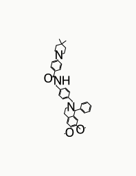 COc1cc2c(cc1OC)C(c1ccccc1)N(Cc1ccc(CNC(=O)c3ccc(N4CCC(C)(C)CC4)cc3)cc1)CC2